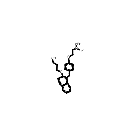 CCCN(CCC)CCOc1ccc(Cc2c(OCCCO)ccc3ccccc23)cc1